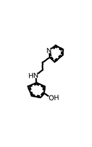 Oc1cccc(NCCc2ccccn2)c1